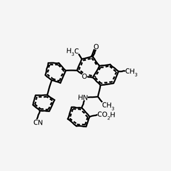 Cc1cc(C(C)Nc2ccccc2C(=O)O)c2oc(-c3cccc(-c4ccc(C#N)cc4)c3)c(C)c(=O)c2c1